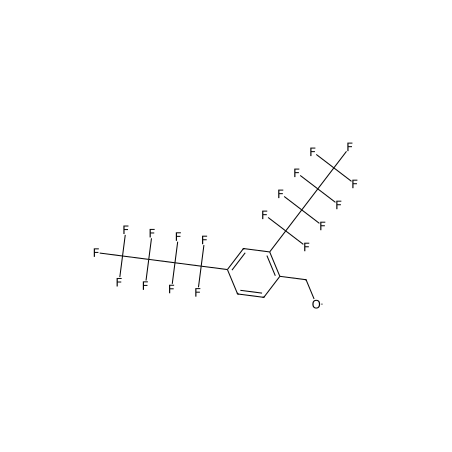 [O]Cc1ccc(C(F)(F)C(F)(F)C(F)(F)C(F)(F)F)cc1C(F)(F)C(F)(F)C(F)(F)C(F)(F)F